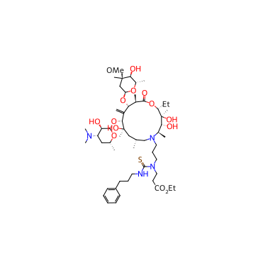 C=C1[C@@H](O[C@@H]2O[C@H](C)C[C@H](N(C)C)[C@H]2O)[C@](C)(O)C[C@@H](C)CN(CCCN(CCC(=O)OCC)C(=S)NCCCc2ccccc2)[C@H](C)[C@@H](O)[C@](C)(O)[C@@H](CC)OC(=O)[C@H](C)[C@H]1O[C@H]1C[C@@](C)(OC)[C@@H](O)[C@H](C)O1